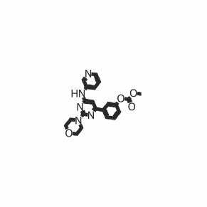 COC(=O)Oc1cccc(-c2cc(Nc3cccnc3)nc(N3CCOCC3)n2)c1